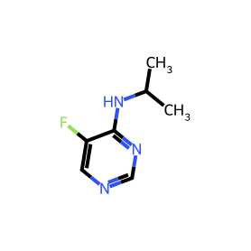 CC(C)Nc1ncncc1F